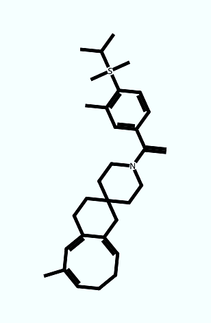 C=C(c1ccc(S(C)(C)C(C)C)c(C)c1)N1CCC2(CCC3=C/C(C)=C\CC/C=C\3C2)CC1